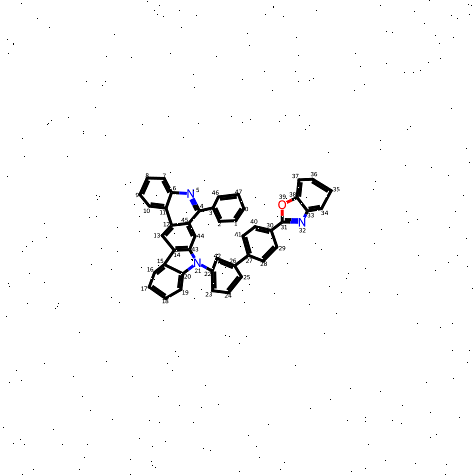 c1ccc(-c2nc3ccccc3c3cc4c5ccccc5n(-c5cccc(-c6ccc(-c7nc8ccccc8o7)cc6)c5)c4cc23)cc1